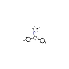 CN1C(=O)/C(=C/c2cn(-c3ccc(Cl)cc3)nc2-c2ccc(Cl)cc2)SC1=S